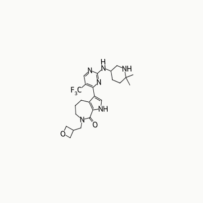 CC1(C)CCC(Nc2ncc(C(F)(F)F)c(-c3c[nH]c4c3CCCN(CC3COC3)C4=O)n2)CN1